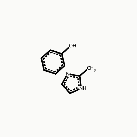 Cc1ncc[nH]1.Oc1ccccc1